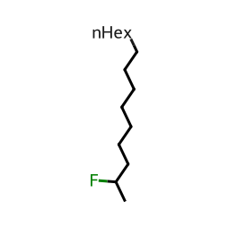 [CH2]CCCCCCCCCCCCC(C)F